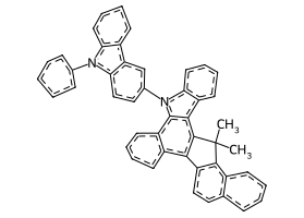 CC1(C)c2c(ccc3ccccc23)-c2c1c1c3ccccc3n(-c3ccc4c(c3)c3ccccc3n4-c3ccccc3)c1c1ccccc21